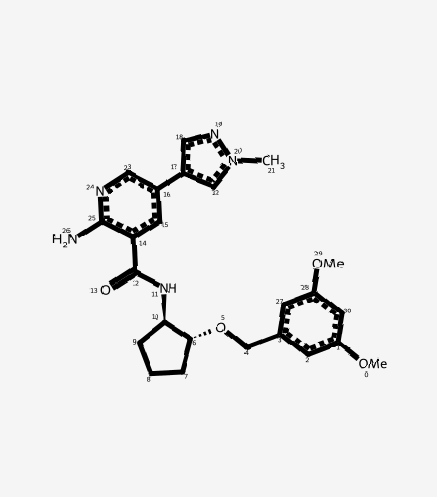 COc1cc(CO[C@@H]2CCC[C@H]2NC(=O)c2cc(-c3cnn(C)c3)cnc2N)cc(OC)c1